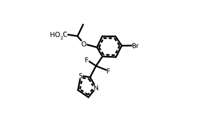 CC(Oc1ccc(Br)cc1C(F)(F)c1nccs1)C(=O)O